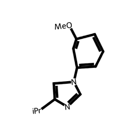 COc1cccc(-n2cnc(C(C)C)c2)c1